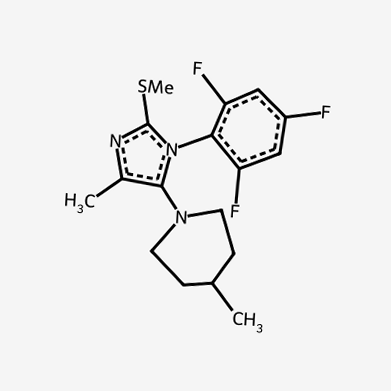 CSc1nc(C)c(N2CCC(C)CC2)n1-c1c(F)cc(F)cc1F